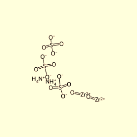 O=S(=O)([O-])[O-].O=S(=O)([O-])[O-].O=S(=O)([O-])[O-].[NH4+].[NH4+].[O]=[Zr+2].[O]=[Zr+2]